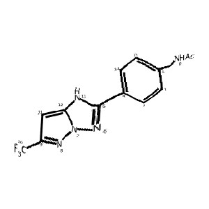 CC(=O)Nc1ccc(-c2nn3nc(C(F)(F)F)cc3[nH]2)cc1